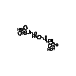 CN(CCC(=O)Nc1ccc(CCNC[C@H](O)c2ccc(O)c3[nH]c(=O)ccc23)cc1)Cc1cnc(C(O)(c2ccccc2)c2ccccc2)o1